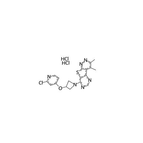 Cc1nnc2sc3c(N4CC(Oc5ccnc(Cl)c5)C4)ncnc3c2c1C.Cl.Cl